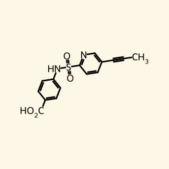 CC#Cc1ccc(S(=O)(=O)Nc2ccc(C(=O)O)cc2)nc1